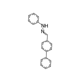 C(=NNc1ccccc1)c1ccc(-c2ccccc2)cc1